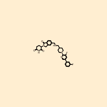 O=C1CCC(N2Cc3cc(CNCC4CCN(c5ncc(-c6cccc(F)c6)cc5F)CC4)ccc3C2=O)C(=O)N1